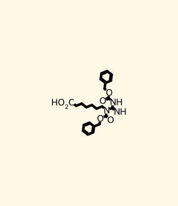 N=C(NC(=O)OCc1ccccc1)N(CCCCCCC(=O)O)C(=O)OCc1ccccc1